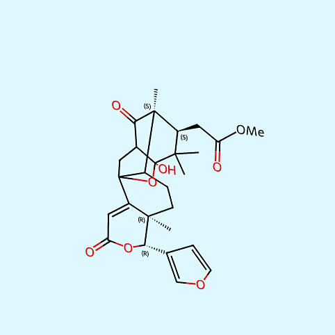 COC(=O)C[C@H]1C(C)(C)C2(O)OC34CC2C(=O)[C@]1(C)C3CC[C@]1(C)C4=CC(=O)O[C@H]1c1ccoc1